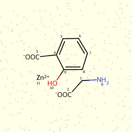 NCC(=O)[O-].O=C([O-])c1ccccc1O.[Zn+2]